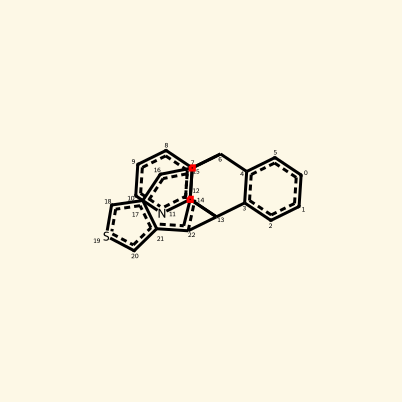 c1ccc2c(c1)C1c3cccnc3C23c2c1cc1cscc1c23